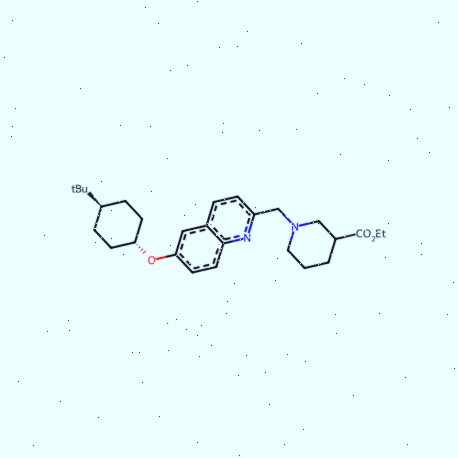 CCOC(=O)C1CCCN(Cc2ccc3cc(O[C@H]4CC[C@H](C(C)(C)C)CC4)ccc3n2)C1